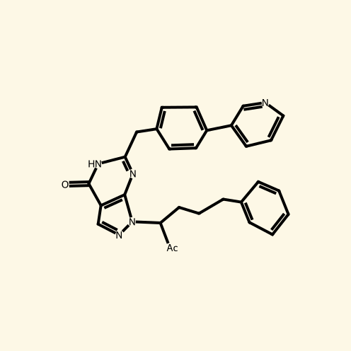 CC(=O)C(CCCc1ccccc1)n1ncc2c(=O)[nH]c(Cc3ccc(-c4cccnc4)cc3)nc21